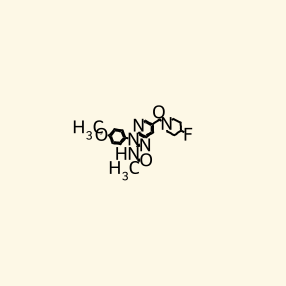 COc1ccc(-n2c(NC(C)=O)nc3cc(C(=O)N4CCC(F)CC4)cnc32)cc1